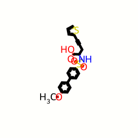 COc1ccc(-c2ccc(S(=O)(=O)NC(CC#Cc3cccs3)C(=O)O)cc2)cc1